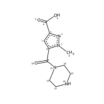 Cn1nc(C(=O)O)cc1C(=O)N1CCNCC1